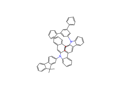 CC1(C)c2ccccc2-c2ccc(N(c3ccc4ccccc4c3)c3ccccc3-c3ccc4c(c3)c3ccccc3n4-c3cc(-c4ccccc4)cc(-c4ccccc4)c3)cc21